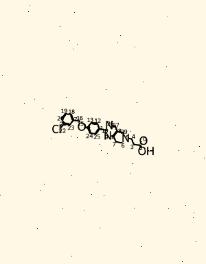 O=C(O)CCN1CCc2nc(-c3ccc(OCc4cccc(Cl)c4)cc3)ncc2C1